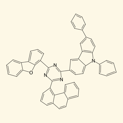 c1ccc(-c2ccc3c(c2)c2cc(-c4nc(-c5cccc6c5oc5ccccc56)nc(-c5cccc6ccc7ccccc7c56)n4)ccc2n3-c2ccccc2)cc1